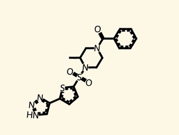 CC1CN(C(=O)c2ccccc2)CCN1S(=O)(=O)c1ccc(-c2c[nH]nn2)s1